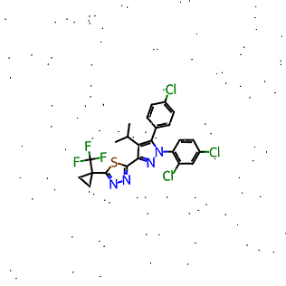 CC(C)c1c(-c2nnc(C3(C(F)(F)F)CC3)s2)nn(-c2ccc(Cl)cc2Cl)c1-c1ccc(Cl)cc1